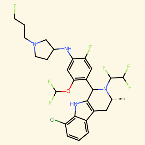 C[C@@H]1Cc2c([nH]c3c(Cl)cccc23)C(c2cc(F)c(NC3CCN(CCCF)C3)cc2OC(F)F)N1C(F)C(F)F